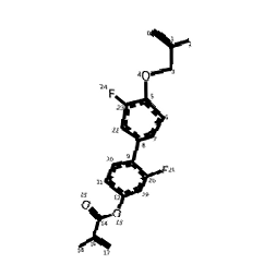 C=C(C)COc1ccc(-c2ccc(OC(=O)C(=C)C)cc2F)cc1F